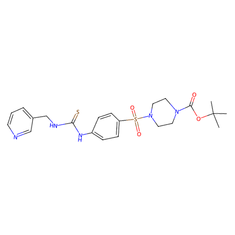 CC(C)(C)OC(=O)N1CCN(S(=O)(=O)c2ccc(NC(=S)NCc3cccnc3)cc2)CC1